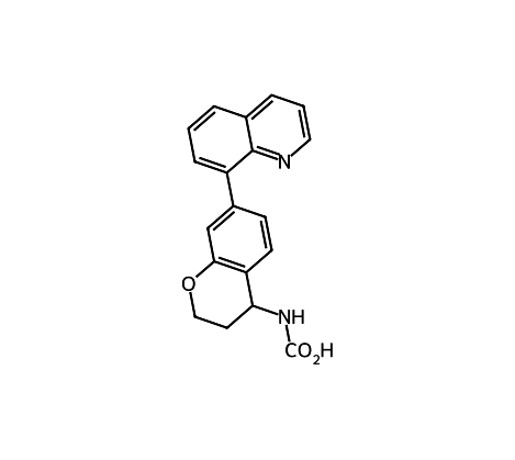 O=C(O)NC1CCOc2cc(-c3cccc4cccnc34)ccc21